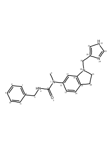 CN(C(=O)NCc1ccccc1)c1ccc2c(c1)N(Cc1c[nH]cn1)CC2